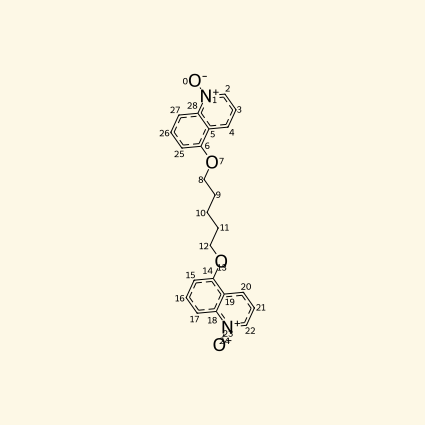 [O-][n+]1cccc2c(OCCCCCOc3cccc4c3ccc[n+]4[O-])cccc21